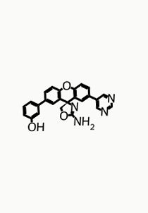 NC1=N[C@@]2(CO1)c1cc(-c3cncnc3)ccc1Oc1ccc(-c3cccc(O)c3)cc12